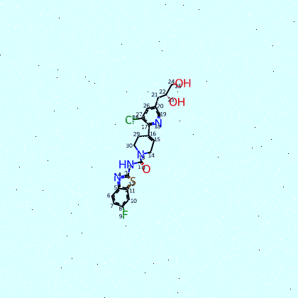 O=C(Nc1nc2ccc(F)cc2s1)N1CC=C(c2ncc(C[C@@H](O)CO)cc2Cl)CC1